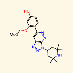 COCOc1cc(O)ccc1-c1cc2nnn(C3CC(C)(C)NC(C)(C)C3)c2nn1